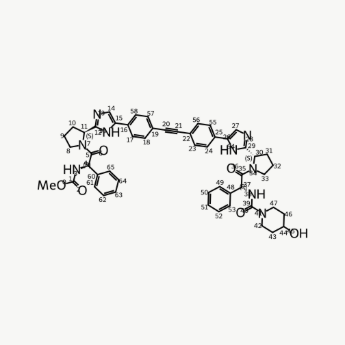 COC(=O)N[C@@H](C(=O)N1CCC[C@H]1c1ncc(-c2ccc(C#Cc3ccc(-c4cnc([C@@H]5CCCN5C(=O)[C@H](NC(=O)N5CCC(O)CC5)c5ccccc5)[nH]4)cc3)cc2)[nH]1)c1ccccc1